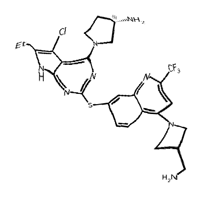 CCc1[nH]c2nc(Sc3ccc4c(N5CC(CN)C5)cc(C(F)(F)F)nc4c3)nc(N3CC[C@H](N)C3)c2c1Cl